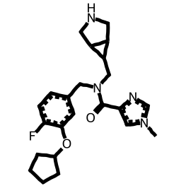 Cn1cnc(C(=O)N(Cc2ccc(F)c(OC3CCCC3)c2)CC2C3CNCC32)c1